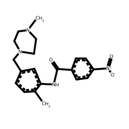 Cc1ccc(CN2CCN(C)CC2)cc1NC(=O)c1ccc([N+](=O)[O-])cc1